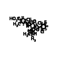 C[C@@H]1C[C@@H](n2ncc(C(=O)N(CC(=O)c3c(Cl)ccc(F)c3Cl)C3C[C@@H]4[C@H](C3)C4(C)C)c2C(F)(F)F)CC[C@@H]1C(=O)O